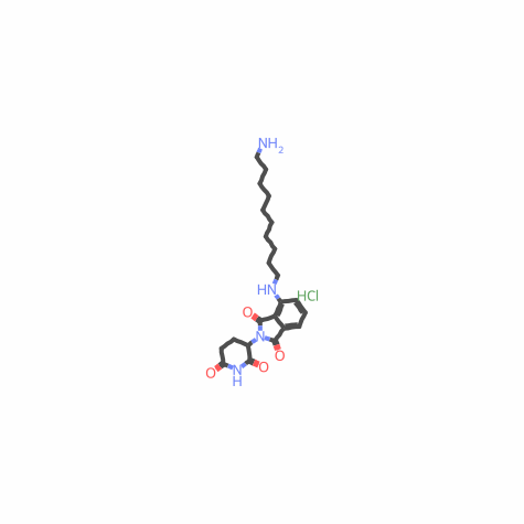 Cl.NCCCCCCCCCCNc1cccc2c1C(=O)N(C1CCC(=O)NC1=O)C2=O